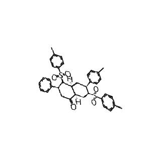 Cc1ccc([C@@H]2C[C@@H]3C(S(=O)(=O)c4ccc(C)cc4)[C@H](c4ccccc4)CC(=O)[C@@H]3CC2S(=O)(=O)c2ccc(C)cc2)cc1